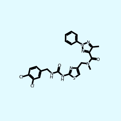 Cc1nn(-c2ccccc2)nc1C(=O)N(C)Cc1csc(NC(=O)NCc2ccc(Cl)c(Cl)c2)n1